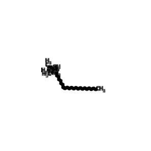 CCCCCCCCCCCCCCC/C=C\CCCCCCCOP(=O)(O)C(CCC)[N+](C)(C)C